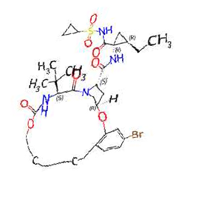 CC[C@@H]1C[C@]1(NC(=O)[C@@H]1C[C@@H]2CN1C(=O)[C@H](C(C)(C)C)NC(=O)OCCCCCCCc1ccc(Br)cc1O2)C(=O)NS(=O)(=O)C1CC1